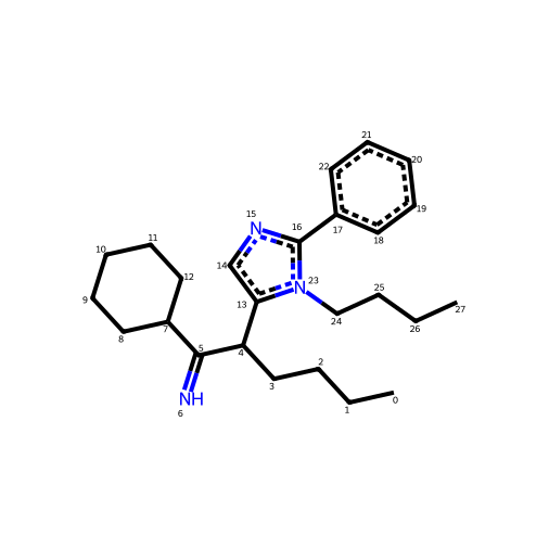 CCCCC(C(=N)C1CCCCC1)c1cnc(-c2ccccc2)n1CCCC